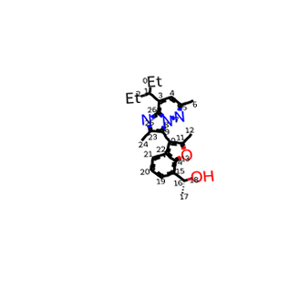 CCC(CC)c1cc(C)nn2c(-c3c(C)oc4c([C@@H](C)O)cccc34)c(C)nc12